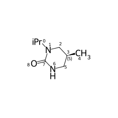 CC(C)N1C[C@@H](C)CNC1=O